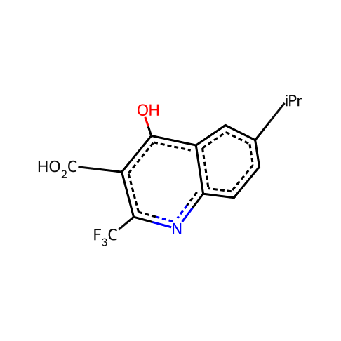 CC(C)c1ccc2nc(C(F)(F)F)c(C(=O)O)c(O)c2c1